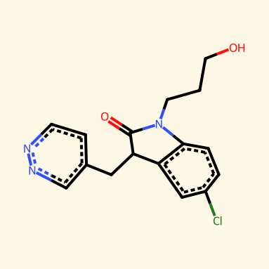 O=C1C(Cc2ccnnc2)c2cc(Cl)ccc2N1CCCO